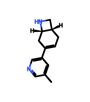 Cc1cncc(C2=CC[C@H]3CN[C@H]3C2)c1